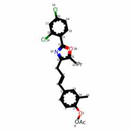 CC(=O)OOc1ccc(C=CCc2nc(-c3ccc(Cl)cc3Cl)oc2C(C)C)cc1C